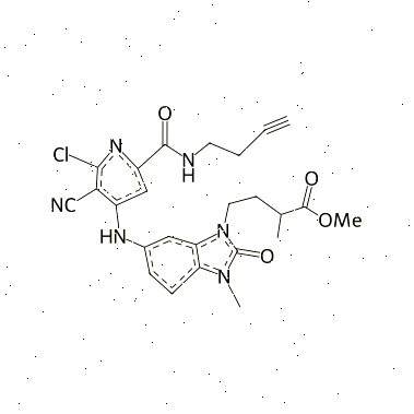 C#CCCNC(=O)c1cc(Nc2ccc3c(c2)n(CCC(C)C(=O)OC)c(=O)n3C)c(C#N)c(Cl)n1